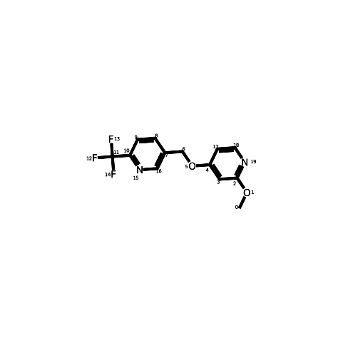 COc1cc(OCc2ccc(C(F)(F)F)nc2)ccn1